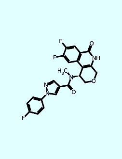 CN(C(=O)c1cnn(-c2ccc(F)cc2)c1)[C@@H]1COCc2[nH]c(=O)c3cc(F)c(F)cc3c21